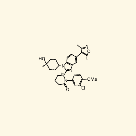 COc1ccc(N2C(=O)CCC[C@H]2c2nc3cc(-c4c(C)noc4C)ccc3n2[C@H]2CC[C@@](C)(O)CC2)cc1Cl